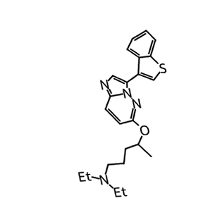 CCN(CC)CCCC(C)Oc1ccc2ncc(-c3csc4ccccc34)n2n1